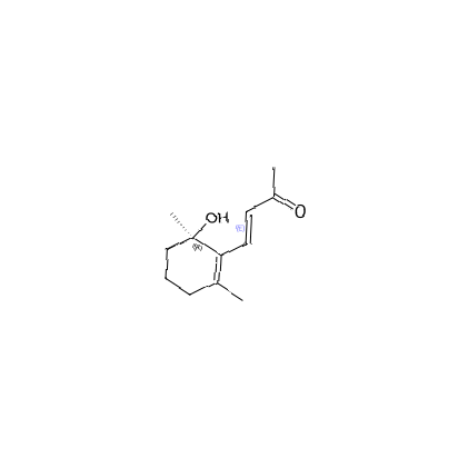 CC(=O)/C=C/C1=C(C)CCC[C@@]1(C)O